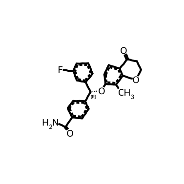 Cc1c(O[C@H](c2ccc(C(N)=O)cc2)c2cccc(F)c2)ccc2c1OCCC2=O